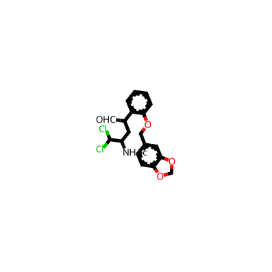 CC(=O)NC(CC(C=O)c1ccccc1OCc1ccc2c(c1)OCO2)C(Cl)Cl